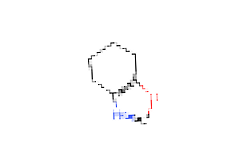 c1nc2c(o1)CCCC2